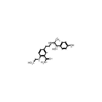 C[C@H](NCCc1ccc(OCC(=O)O)c(C(N)=O)c1)[C@@H](O)c1ccc(O)cc1